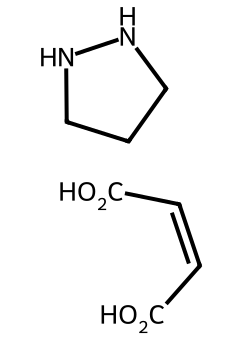 C1CNNC1.O=C(O)/C=C\C(=O)O